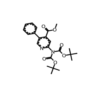 COC(=O)c1cc(N(C(=O)OC(C)(C)C)C(=O)OC(C)(C)C)ncc1-c1ccccc1